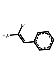 [CH2]C(Br)=Cc1ccccc1